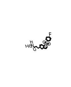 O=C(C=Cc1ccc2c(ccn2S(=O)(=O)c2ccc(F)cc2)c1)NO